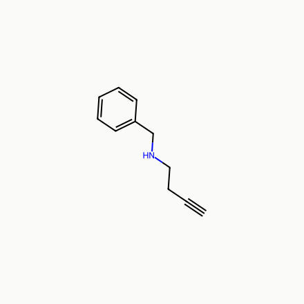 C#CCCNCc1ccccc1